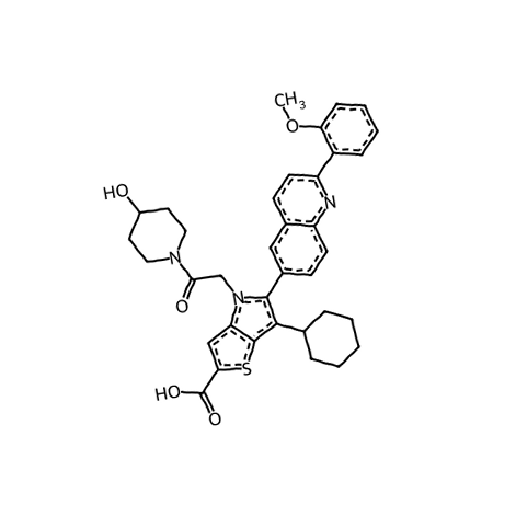 COc1ccccc1-c1ccc2cc(-c3c(C4CCCCC4)c4sc(C(=O)O)cc4n3CC(=O)N3CCC(O)CC3)ccc2n1